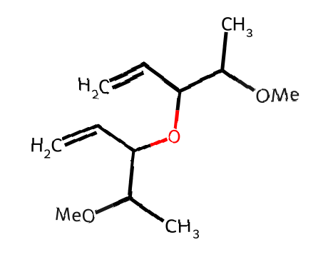 C=CC(OC(C=C)C(C)OC)C(C)OC